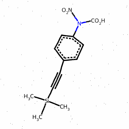 C[Si](C)(C)C#Cc1ccc(N(C(=O)O)[N+](=O)[O-])cc1